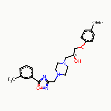 COc1ccc(OC[C@@H](O)CN2CCN(Cc3noc(-c4cccc(C(F)(F)F)c4)n3)CC2)cc1